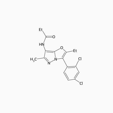 CCC(=O)Nc1c(C)nn2c(-c3ccc(Cl)cc3Cl)c(CC)oc12